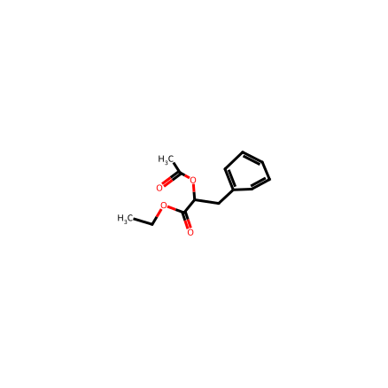 CCOC(=O)C(Cc1ccccc1)OC(C)=O